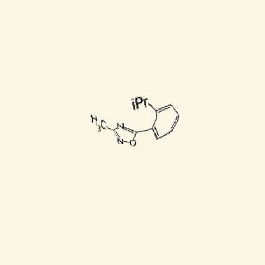 Cc1noc(-c2ccccc2C(C)C)n1